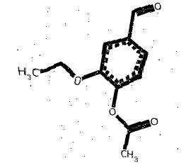 CCOc1cc(C=O)ccc1OC(C)=O